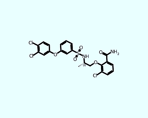 C[C@@H](COc1c(Cl)cccc1C(N)=O)NS(=O)(=O)c1cccc(Oc2ccc(Cl)c(Cl)c2)c1